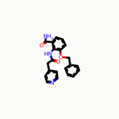 NC(=O)c1cccc(OCc2ccccc2)c1NC(=O)Cc1ccncc1